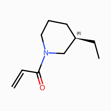 C=CC(=O)N1CCC[C@@H](CC)C1